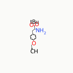 C#CCOc1ccc(CC(N)C(=O)OC(C)(C)C)cc1